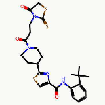 CC(C)(C)c1ccccc1NC(=O)c1csc(C2CCN(C(=O)CCN3C(=O)CSC3=S)CC2)n1